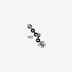 CCNC(=O)Nc1cccc(-c2cnc3cc(-c4ccc(N5CCOCC5)cc4)ccn23)c1.Cl